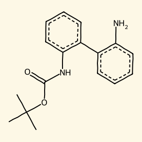 CC(C)(C)OC(=O)Nc1ccccc1-c1ccccc1N